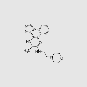 C[C@@H](Nc1nc2ccccc2c2cnnn12)C(=O)NCCN1CCOCC1